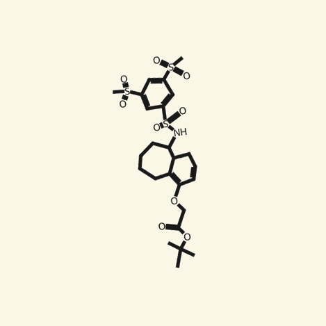 CC(C)(C)OC(=O)COC1=C2CCCCC(NS(=O)(=O)c3cc(S(C)(=O)=O)cc(S(C)(=O)=O)c3)C2CC=C1